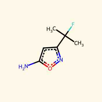 CC(C)(F)c1cc(N)on1